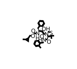 Cc1ccccc1CNC(=O)[C@H]1N(C(=O)[C@@H](O)[C@H](Cc2ccccc2)NC(=O)OCC2CC2C)CSC1(C)C